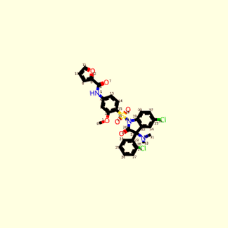 COc1cc(NC(=O)c2ccco2)ccc1S(=O)(=O)N1C(=O)C(c2ccccc2Cl)(N(C)C)c2cc(Cl)ccc21